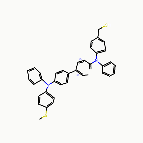 C=C(/C=C\C(=C/C)c1ccc(N(c2ccccc2)c2ccc(SC)cc2)cc1)N(c1ccccc1)c1ccc(CS)cc1